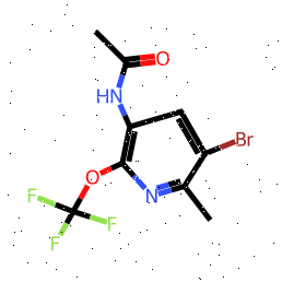 CC(=O)Nc1cc(Br)c(C)nc1OC(F)(F)F